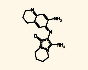 NC1=CC2=NCCCC2=C/C1=N\c1c(N)n2n(c1=O)CCCC2